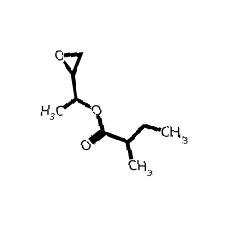 CCC(C)C(=O)OC(C)C1CO1